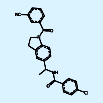 CC(NC(=O)c1ccc(Cl)cc1)c1ccc2c(c1)CCN2C(=O)c1cccc(C#N)c1